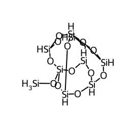 [SiH3]O[Si]12O[SiH]3C[SiH]4O[SiH]5O[SiH](O3)O[SiH](O[SiH](O5)O[SiH](O4)O1)O2